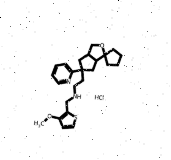 COc1ccsc1CNCCC1(c2ccccn2)CC2COC3(CCCC3)C2C1.Cl